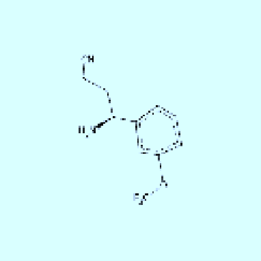 N#CCC[C@H](N)c1cccc(OC(F)(F)F)c1